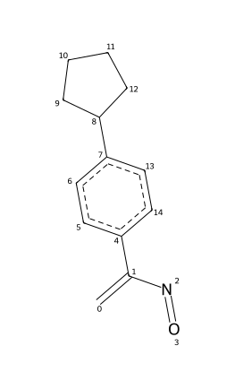 C=C(N=O)c1ccc(C2CCCC2)cc1